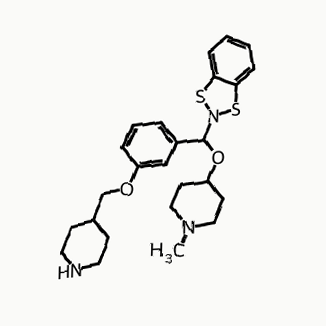 CN1CCC(OC(c2cccc(OCC3CCNCC3)c2)N2Sc3ccccc3S2)CC1